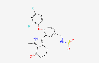 Cc1[nH]c(-c2cc(CN[SH](=O)=O)ccc2Oc2ccc(F)cc2F)c2c1C(=O)CCC2